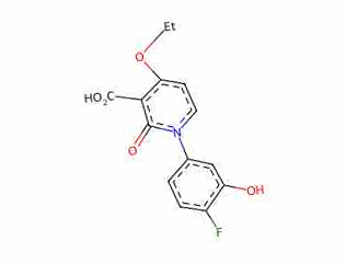 CCOc1ccn(-c2ccc(F)c(O)c2)c(=O)c1C(=O)O